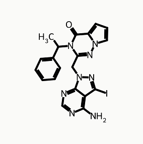 CC(c1ccccc1)n1c(Cn2nc(I)c3c(N)ncnc32)nn2cccc2c1=O